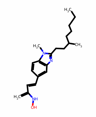 C=C(/C=C/c1ccc2c(c1)nc(CCC(C)CCCCC)n2C)NO